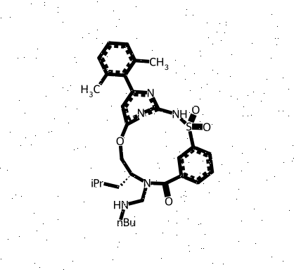 CCCCNCN1C(=O)c2cccc(c2)S(=O)(=O)Nc2nc(cc(-c3c(C)cccc3C)n2)OC[C@H]1CC(C)C